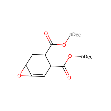 CCCCCCCCCCOC(=O)C1C=C2OC2CC1C(=O)OCCCCCCCCCC